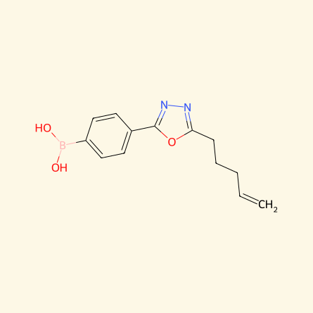 C=CCCCc1nnc(-c2ccc(B(O)O)cc2)o1